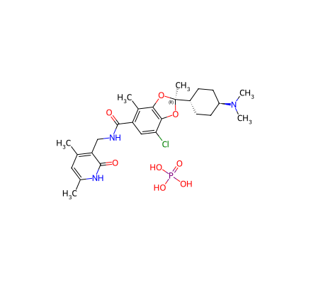 Cc1cc(C)c(CNC(=O)c2cc(Cl)c3c(c2C)O[C@@](C)([C@H]2CC[C@H](N(C)C)CC2)O3)c(=O)[nH]1.O=P(O)(O)O